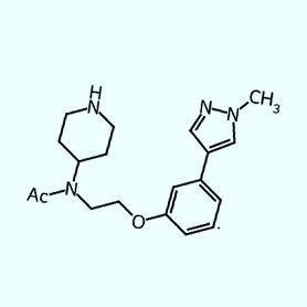 CC(=O)N(CCOc1c[c]cc(-c2cnn(C)c2)c1)C1CCNCC1